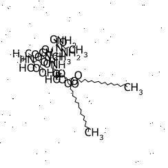 CCCCCCCCCCCCCCCC(=O)OC[C@H](COP(=O)(O)OCCNC(=O)[C@H](C)N(CC(C)O[C@H]1[C@H](O)[C@@H](CO)O[C@H](O)[C@@H]1NC(C)=O)C(=O)CC[C@@H](NC(=O)C(N)CC)C(N)=O)OC(=O)CCCCCCCCCCCCCCC